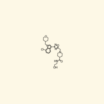 O=C(NCCO)C1CCN(Cc2nc(-c3cn(CC4CCOCC4)c4c(Cl)cccc34)no2)CC1